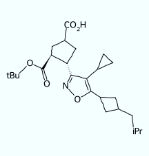 CC(C)CC1CC(c2onc([C@H]3CC(C(=O)O)C[C@@H]3C(=O)OC(C)(C)C)c2C2CC2)C1